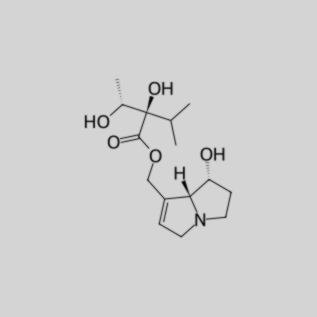 CC(C)[C@](O)(C(=O)OCC1=CCN2CC[C@@H](O)[C@@H]12)[C@@H](C)O